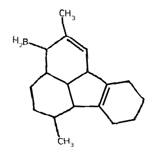 BC1C(C)=CC2C3=C(CCCC3)C3C(C)CCC1C23